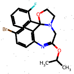 CC(C)OC1=Nc2ccc(Br)cc2C2(c3ccccc3F)OCCN2C1